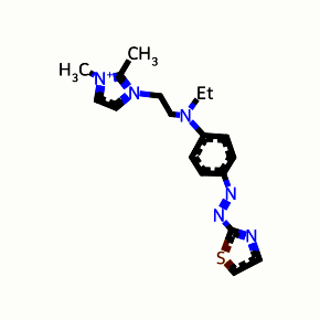 CCN(CCn1cc[n+](C)c1C)c1ccc(/N=N/c2nccs2)cc1